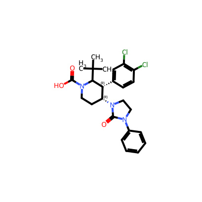 CC(C)(C)C1[C@H](c2ccc(Cl)c(Cl)c2)[C@H](N2CCN(c3ccccc3)C2=O)CCN1C(=O)O